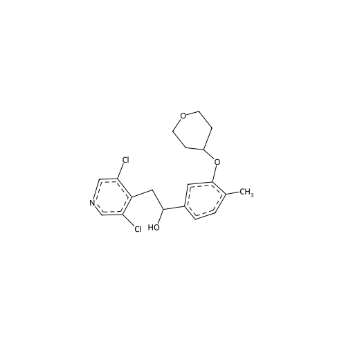 Cc1ccc(C(O)Cc2c(Cl)cncc2Cl)cc1OC1CCOCC1